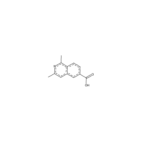 Cc1cc2cc(C(=O)O)ccc2c(C)n1